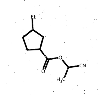 [CH2]CC1C[CH]C(C(=O)OC(C)C#N)C1